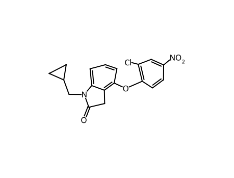 O=C1Cc2c(Oc3ccc([N+](=O)[O-])cc3Cl)cccc2N1CC1CC1